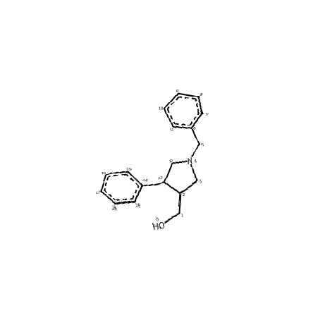 OCC1CN(Cc2ccccc2)CC1c1ccccc1